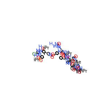 CC[C@H](C)[C@@H]([C@@H](CC(=O)N1CCC[C@H]1[C@H](OC)[C@@H](C)C(=O)N[C@@H](Cc1ccccc1)C(=O)N[C@H](C(=O)N[C@@H](CCCNC(N)=O)C(=O)Nc1ccc(COC(=O)N2CCC(c3cc(OC(C)C)c(Nc4ncc(Cl)c(Nc5ccccc5S(=O)(=O)C(C)C)n4)cc3C)CC2)cc1)C(C)C)OC)N(C)C(=O)[C@@H](NC(=O)[C@H](C(C)C)N(C)C(=O)CCCCCN1C(=O)C=CC1=O)C(C)C